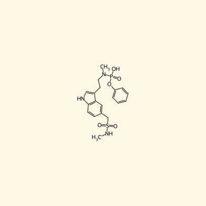 CNS(=O)(=O)Cc1ccc2[nH]cc(CCN(C)P(=O)(O)Oc3ccccc3)c2c1